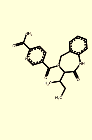 CCC(C)C1C(=O)Nc2ccccc2CN1C(=O)c1ccc(C(N)=O)nc1